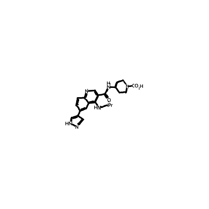 CC(C)Nc1c(C(=O)NC2CCN(C(=O)O)CC2)cnc2ccc(-c3cn[nH]c3)cc12